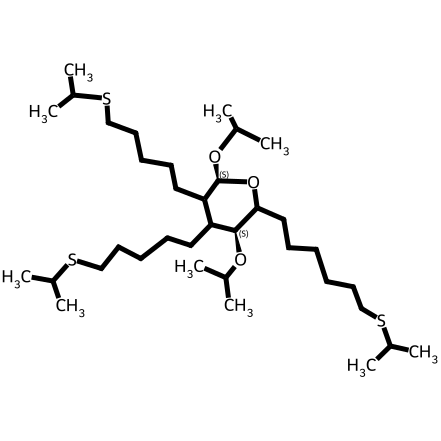 CC(C)O[C@H]1OC(CCCCCCSC(C)C)[C@@H](OC(C)C)C(CCCCCSC(C)C)C1CCCCCSC(C)C